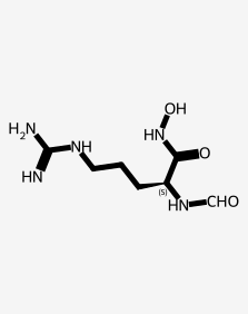 N=C(N)NCCC[C@H](NC=O)C(=O)NO